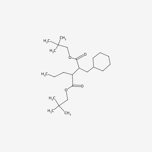 CCCC(C(=O)OCC(C)(C)C)C(CC1CCCCC1)C(=O)OCC(C)(C)C